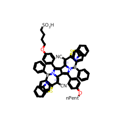 CCCCCOc1ccc(-c2c3/c(=C(\C#N)c4nc5ccccc5s4)n(B(c4ccccc4)c4ccccc4)c(-c4ccc(OCCCCS(=O)(=O)O)cc4)c3/c(=C(\C#N)c3nc4ccccc4s3)n2B(c2ccccc2)c2ccccc2)cc1